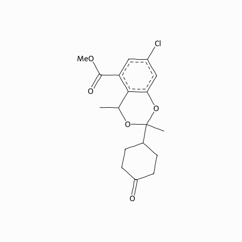 COC(=O)c1cc(Cl)cc2c1C(C)OC(C)(C1CCC(=O)CC1)O2